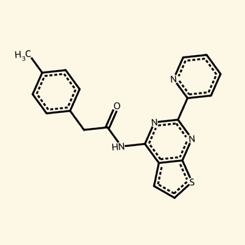 Cc1ccc(CC(=O)Nc2nc(-c3ccccn3)nc3sccc23)cc1